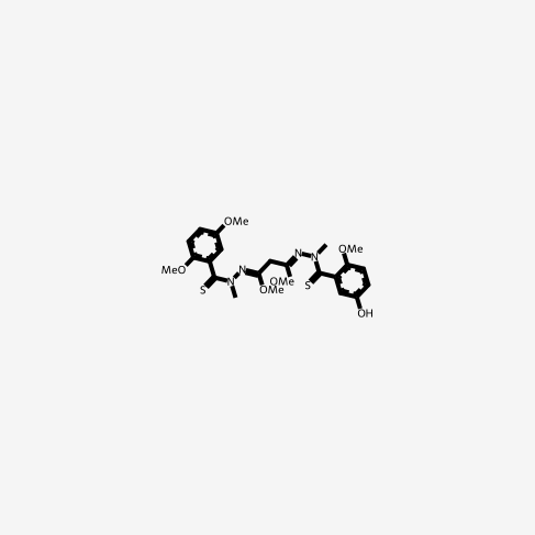 CO/C(C/C(=N/N(C)C(=S)c1cc(OC)ccc1OC)OC)=N\N(C)C(=S)c1cc(O)ccc1OC